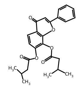 CC(C)CC(=O)Oc1ccc2c(=O)cc(-c3ccccc3)oc2c1OC(=O)CC(C)C